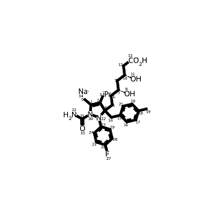 CC1=C(C(C)C)C(CC[C@@H](O)C[C@@H](O)CC(=O)O)(Cc2ccc(C)cc2)N(c2ccc(F)cc2)N1C(N)=O.[Na]